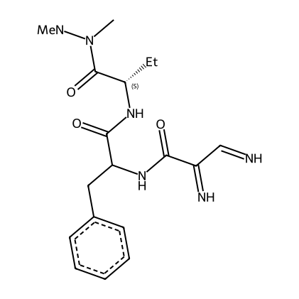 CC[C@H](NC(=O)C(Cc1ccccc1)NC(=O)C(=N)C=N)C(=O)N(C)NC